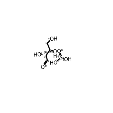 O=C[C@H](O)[C@H](O)CO.O=S(O)O